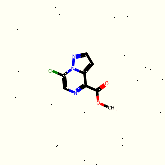 COC(=O)c1ncc(Cl)n2nccc12